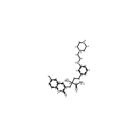 Cc1ccc2oc(=O)c(CC(O)(CCc3cccc(OCCN4CCOCC4)c3)C(N)=O)cc2c1